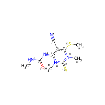 CNC(=O)N=c1c(C#N)c(SC)n(C)c(=S)n1C